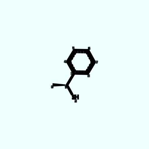 C[C@@H](S)c1ccccc1